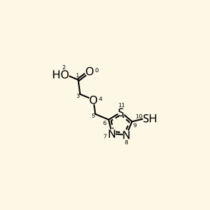 O=C(O)COCc1nnc(S)s1